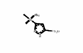 CCOC(=O)c1cc([Si](C)(C)C(C)(C)C)n[nH]1